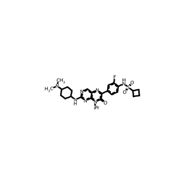 CC(C)n1c(=O)c(-c2ccc(NS(=O)(=O)C3CCC3)c(F)c2)nc2cnc(NC3CCC(N(C)C)CC3)nc21